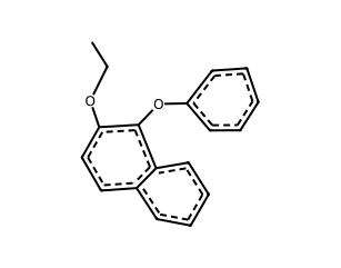 CCOc1ccc2ccccc2c1Oc1ccccc1